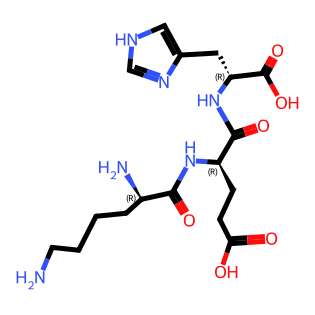 NCCCC[C@@H](N)C(=O)N[C@H](CCC(=O)O)C(=O)N[C@H](Cc1c[nH]cn1)C(=O)O